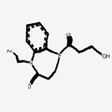 CC(=O)CN1C(=O)CCN(C(=O)CCO)c2ccccc21